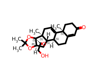 CC1(C)O[C@@H]2C[C@H]3[C@@H]4CCC5=CC(=O)CC[C@]5(C)C4=CC[C@]3(C)[C@]2(C(=O)CO)O1